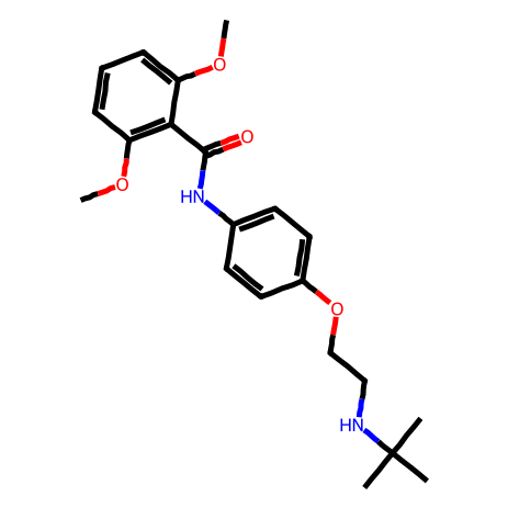 COc1cccc(OC)c1C(=O)Nc1ccc(OCCNC(C)(C)C)cc1